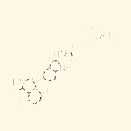 CN(C)CCCOC(=O)Nc1nc2cc(-c3n[nH]c(=O)c4c(F)ccc(F)c34)ccc2[nH]1